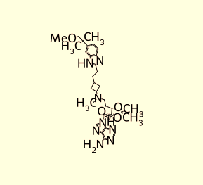 COCC(C)(C)c1ccc2nc(CCC3CC(N(C)CC4O[C@@H](n5cnc6c(N)ncnc65)[C@@H]5OC(C)(C)OC45)C3)[nH]c2c1